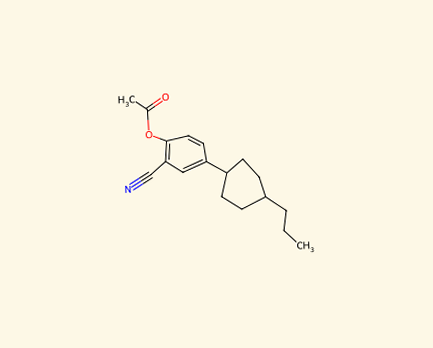 CCCC1CCC(c2ccc(OC(C)=O)c(C#N)c2)CC1